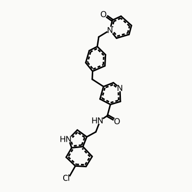 O=C(NCc1c[nH]c2cc(Cl)ccc12)c1cncc(Cc2ccc(Cn3ccccc3=O)cc2)c1